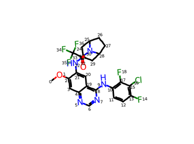 COc1cc2ncnc(Nc3ccc(F)c(Cl)c3F)c2cc1NC1CC2CCC(C1)N2C(=O)C(F)(F)F